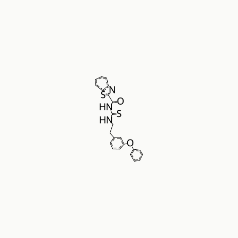 O=C(NC(=S)NCCc1cccc(Oc2ccccc2)c1)c1nc2ccccc2s1